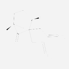 C=CCC1(CC=C)C(=O)[C@@H]2CC[C@H]1C2